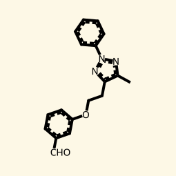 Cc1nn(-c2ccccc2)nc1CCOc1cccc(C=O)c1